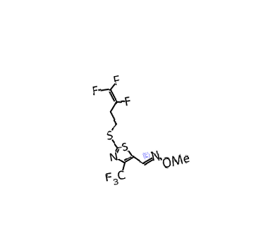 CO/N=C/c1sc(SCCC(F)=C(F)F)nc1C(F)(F)F